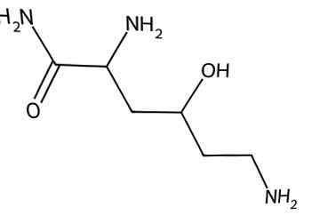 NCCC(O)CC(N)C(N)=O